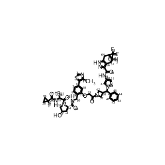 Cc1ncsc1-c1ccc(CNC(=O)[C@@H]2C[C@@H](O)CN2C(=O)C(NC(=O)C2(F)CC2)C(C)(C)C)c(OCC(=O)N2CC(C(c3ccccc3)n3cc(NC(=O)c4n[nH]c5c4C[C@@H]4C(F)(F)[C@]4(C)C5)cn3)C2)c1